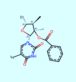 [2H]c1cn([C@@H]2O[C@H](CC)[C@@H](C)[C@@]2(C)OC(=O)c2ccccc2)c(=O)[nH]c1=O